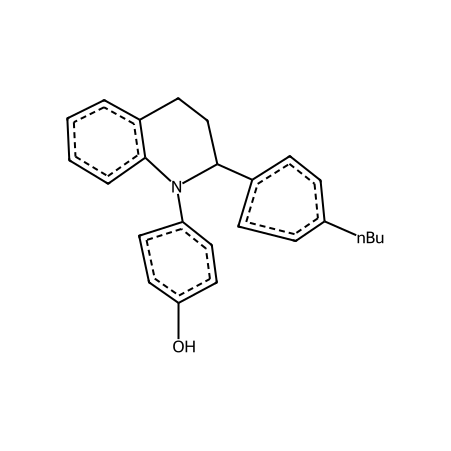 CCCCc1ccc(C2CCc3ccccc3N2c2ccc(O)cc2)cc1